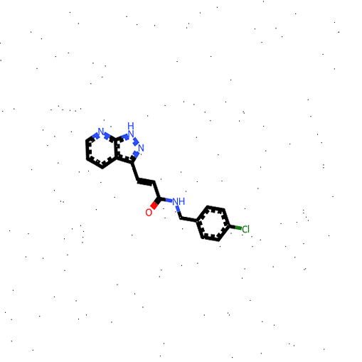 O=C(/C=C/c1n[nH]c2ncccc12)NCc1ccc(Cl)cc1